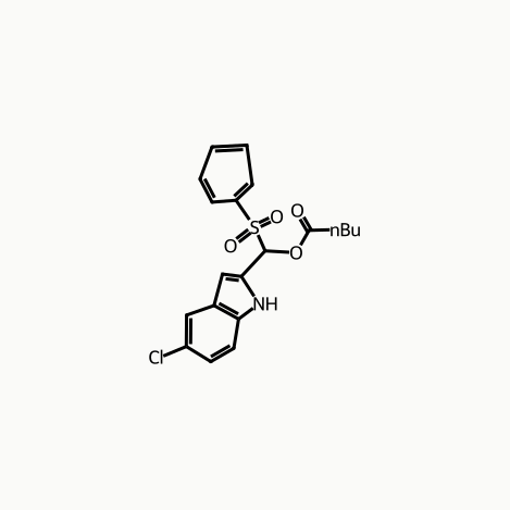 CCCCC(=O)OC(c1cc2cc(Cl)ccc2[nH]1)S(=O)(=O)c1ccccc1